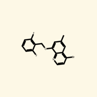 Cc1cc(OCc2c(F)cccc2F)c2nccc(Br)c2c1